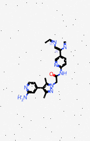 C=N/C(=C\N=C/C)c1ccc(NC(=O)Cn2nc(C)c(-c3ccnc(N)c3)c2C)nc1